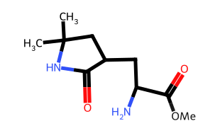 COC(=O)C(N)CC1CC(C)(C)NC1=O